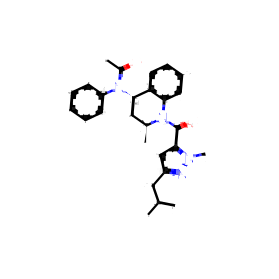 CC(=O)N(c1ccccc1)[C@@H]1C[C@H](C)N(C(=O)c2cc(CC(C)C)nn2C)c2ccccc21